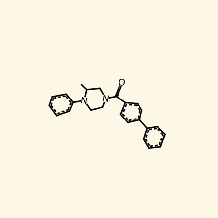 CC1CN(C(=O)c2ccc(-c3ccccc3)cc2)CCN1c1ccccc1